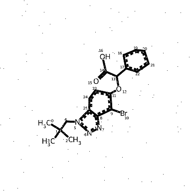 CC(C)(C)Cn1nnc2c(Br)c(OC(C(=O)O)c3ccccc3)ccc21